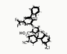 N#CN1CCC(F)(c2cc(Cl)cnc2O[C@H]2C[C@@H](C(=O)O)N(c3nc(C(F)F)nc4c3oc3ccccc34)C2)CC1